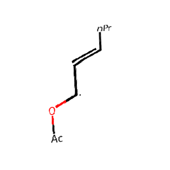 CCCC=C[CH]OC(C)=O